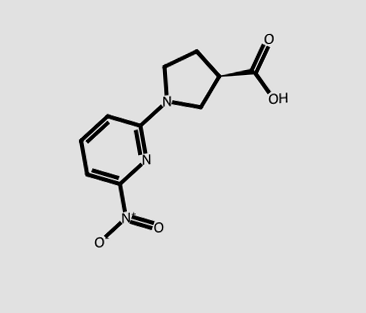 O=C(O)[C@@H]1CCN(c2cccc([N+](=O)[O-])n2)C1